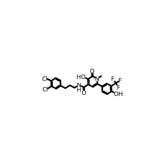 Cn1c(-c2ccc(O)c(C(F)(F)F)c2)cc(C(=O)NCCCc2ccc(Cl)c(Cl)c2)c(O)c1=O